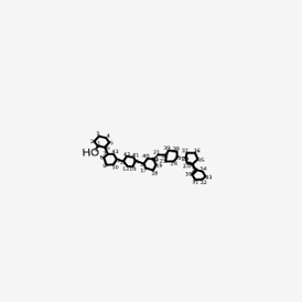 OC1CCCCC1C1CCCC(C2CCC(C3CCC[C@H](CC4CCC([C@H]5C=C(C6=CCCCC6)CCC5)CC4)C3)CC2)C1